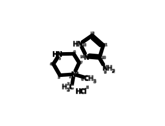 C[N+]1(C)CCNCC1.Cl.Nc1cc[nH]n1